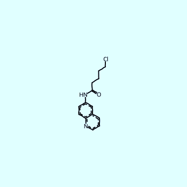 O=C(CCCCCl)Nc1ccc2ncccc2c1